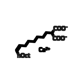 CCCCCCCC/C=C\CCCCCCC(C(=O)[O-])C(=O)[O-].[Ca+2]